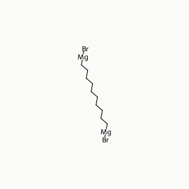 [Br][Mg][CH2]CCCCCCCC[CH2][Mg][Br]